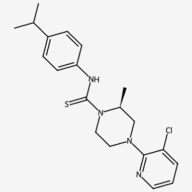 CC(C)c1ccc(NC(=S)N2CCN(c3ncccc3Cl)C[C@@H]2C)cc1